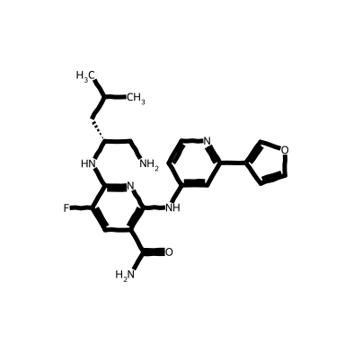 CC(C)C[C@H](CN)Nc1nc(Nc2ccnc(-c3ccoc3)c2)c(C(N)=O)cc1F